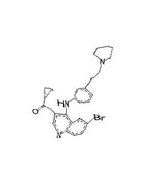 O=C(c1cnc2ccc(Br)cc2c1Nc1cccc(CCN2CCCC2)c1)C1CC1